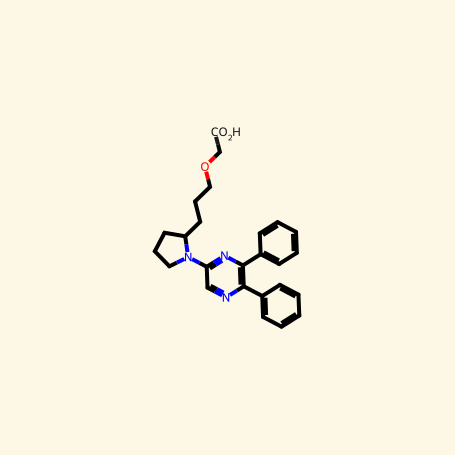 O=C(O)COCCCC1CCCN1c1cnc(-c2ccccc2)c(-c2ccccc2)n1